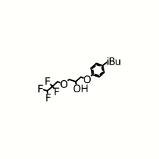 CCC(C)c1ccc(OCC(O)COCC(F)(F)C(F)F)cc1